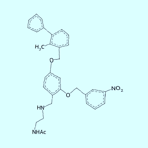 CC(=O)NCCNCc1ccc(OCc2cccc(-c3ccccc3)c2C)cc1OCc1cccc([N+](=O)[O-])c1